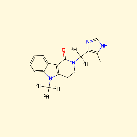 [2H]C([2H])(c1nc[nH]c1C)N1CCc2c(c3ccccc3n2C([2H])([2H])[2H])C1=O